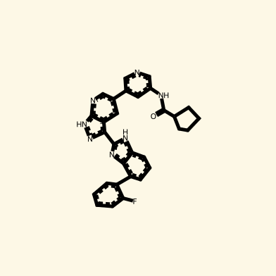 O=C(Nc1cncc(-c2cnc3[nH]nc(-c4nc5c(-c6ccccc6F)cccc5[nH]4)c3c2)c1)C1CCCC1